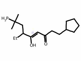 CCC(CC(C)(C)P)/C(O)=C/C(=O)CCC1CCCC1